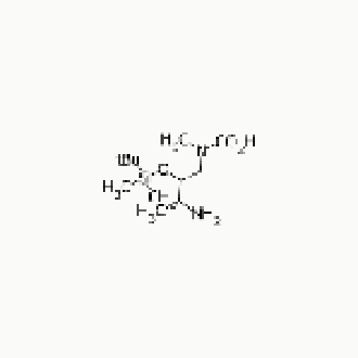 CC(N)C(CN(C)C(=O)O)O[Si](C)(C)C(C)(C)C